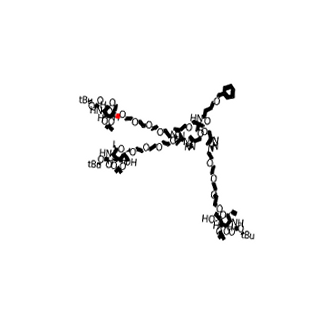 C=C[C@H]1O[C@](CO)(COCCOCCOCCOCCn2cc(COCC(COCc3cn(CCOCCOCCOCCOC[C@@]4(CO)O[C@H](I)[C@H](NC(=O)OC(C)(C)C)[C@H]5OC(C)(C)O[C@H]54)nn3)(COCc3cn(CCOCCOCCOCCOC[C@@]45CO[C@@H](O4)[C@H](NC(=O)OC(C)(C)C)[C@H]4OC(C)(C)O[C@H]45)nn3)NC(=O)CCCOCc3ccccc3)nn2)[C@@H]2OC(C)(C)O[C@@H]2[C@H]1NC(=O)OC(C)(C)C